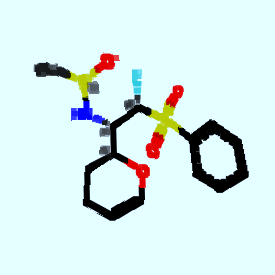 CC(C)(C)[S@@+]([O-])N[C@@H]([C@@H]1CCC=CO1)[C@H](F)S(=O)(=O)c1ccccc1